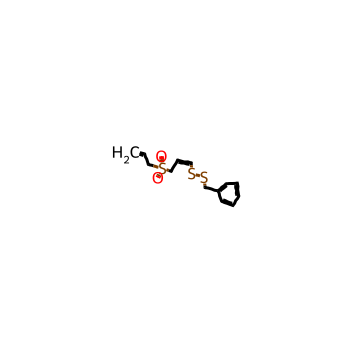 C=CCS(=O)(=O)C/C=C\SSCc1ccccc1